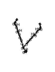 CC(C)(C)CCC(C)(C)C(=O)NCCOCCNC(=O)CCOCCOCCOCCOCCN(CCOCCOCCOCCOCCC(=O)NCCOCCNC(=O)C(C)(C)CCC(C)(C)C)C(=O)CCN1C(=O)C=CC1=O